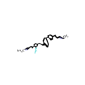 C/C=C/CCc1ccc(-c2ccc(CCc3ccc(CC/C=C/C)c(F)c3)cc2)cc1